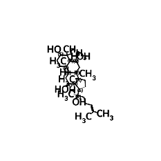 CC(C)=CCC[C@@](C)(O)[C@H]1CC[C@]2(C)[C@@H]1[C@H](O)C[C@@H]1[C@@]3(C)CC[C@H](O)C(C)(C)[C@@H]3[C@@H](O)C[C@]12C